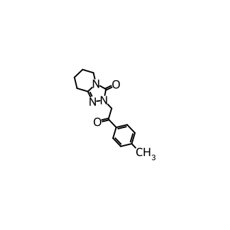 Cc1ccc(C(=O)Cn2nc3n(c2=O)CCCC3)cc1